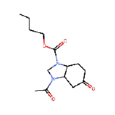 CCCCOC(=O)N1CN(C(C)=O)C2CC(=O)CCC21